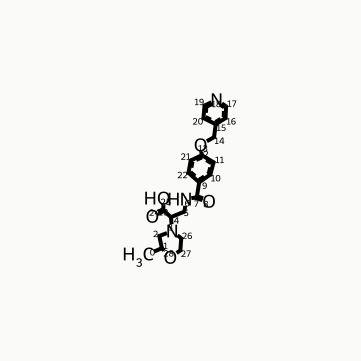 CC1CN(C(CNC(=O)c2ccc(OCc3ccncc3)cc2)C(=O)O)CCO1